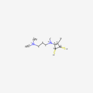 CCCN(CCC)CCCN(C)c1c(C)c(=S)c1=S